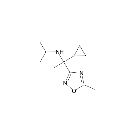 Cc1nc(C(C)(NC(C)C)C2CC2)no1